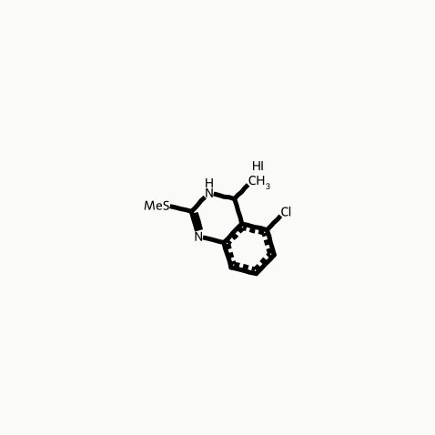 CSC1=Nc2cccc(Cl)c2C(C)N1.I